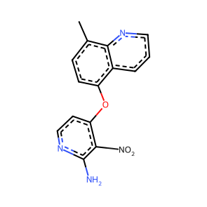 Cc1ccc(Oc2ccnc(N)c2[N+](=O)[O-])c2cccnc12